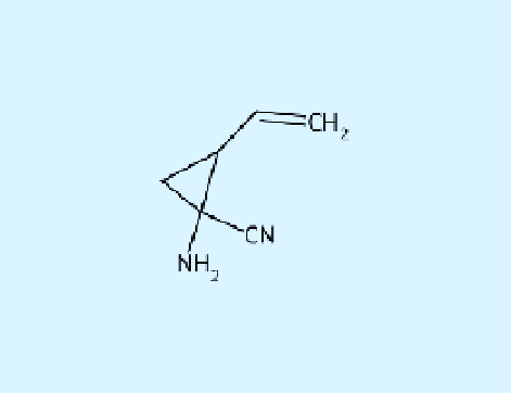 C=CC1CC1(N)C#N